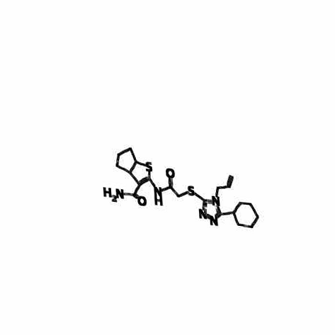 C=CCn1c(SCC(=O)NC2=C(C(N)=O)C3CCCC3S2)nnc1C1CCCCC1